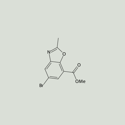 COC(=O)c1cc(Br)cc2nc(C)oc12